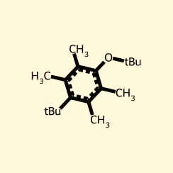 Cc1c(C)c(C(C)(C)C)c(C)c(C)c1OC(C)(C)C